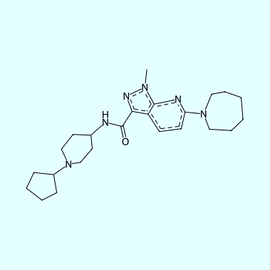 Cn1nc(C(=O)NC2CCN(C3CCCC3)CC2)c2ccc(N3CCCCCC3)nc21